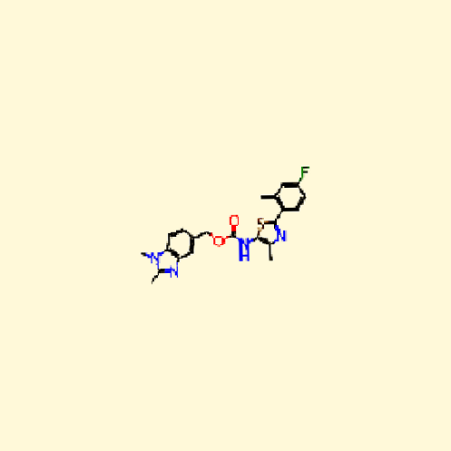 Cc1cc(F)ccc1-c1nc(C)c(NC(=O)OCc2ccc3c(c2)nc(C)n3C)s1